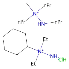 CCCN[N+](C)(CCC)CCC.CC[N+](N)(CC)C1CCCCC1.Cl